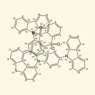 O=S1(=O)c2ccccc2S(=O)(=O)c2cc(-c3cccc4sc5cccc(-n6c7ccc(-n8c9ccccc9c9ccccc98)cc7c7cc(-n8c9ccccc9c9ccccc98)ccc76)c5c34)ccc21